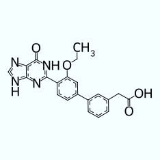 CCOc1cc(-c2cccc(CC(=O)O)c2)ccc1-c1nc2[nH]cnc2c(=O)[nH]1